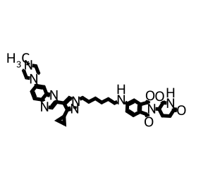 CN1CCN(c2ccc3ncc(-c4cn(CCCCCCNc5ccc6c(c5)C(=O)N(C5CCC(=O)NC5=O)C6=O)nc4C4CC4)nc3c2)CC1